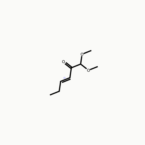 CC/C=C/C(=O)C(OC)OC